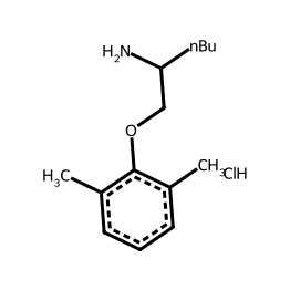 CCCCC(N)COc1c(C)cccc1C.Cl